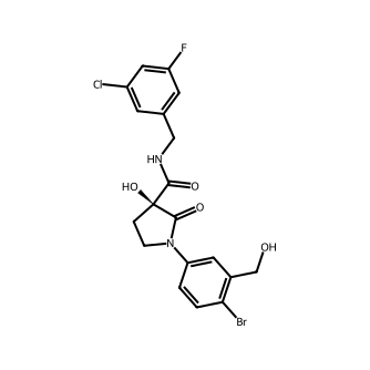 O=C(NCc1cc(F)cc(Cl)c1)[C@@]1(O)CCN(c2ccc(Br)c(CO)c2)C1=O